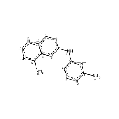 Nc1nccc(Nc2ccc3ncnc(N)c3c2)n1